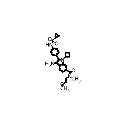 COCCN(C)C(=O)c1ccc2c(N)c(-c3ccc(NS(=O)(=O)C4CC4)cc3)n(C3CCC3)c2c1